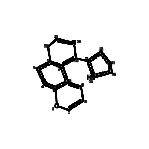 C1=COc2ccc3c(c2=C1)=C(c1ccc[nH]1)N=CC3